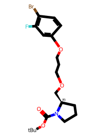 CC(C)(C)OC(=O)N1CCC[C@@H]1COCCCOc1ccc(Br)c(F)c1